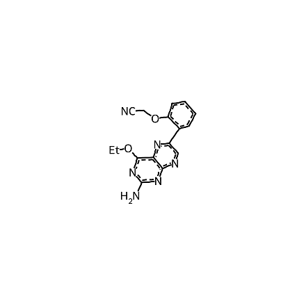 CCOc1nc(N)nc2ncc(-c3ccccc3OCC#N)nc12